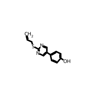 C=CCSc1ncc(-c2ccc(O)cc2)cn1